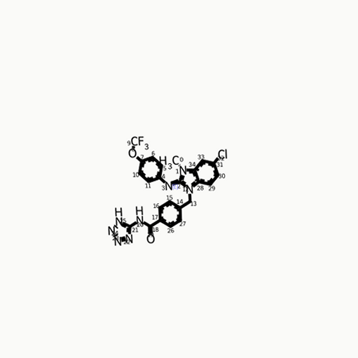 Cn1/c(=N\c2ccc(OC(F)(F)F)cc2)n(Cc2ccc(C(=O)Nc3nnn[nH]3)cc2)c2ccc(Cl)cc21